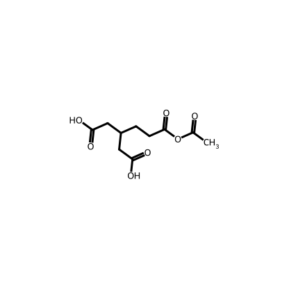 CC(=O)OC(=O)CCC(CC(=O)O)CC(=O)O